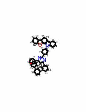 c1ccc(-c2nc(-c3ccc(-n4c5ccccc5c5ccc6c7ccccc7oc6c54)cc3)nc3c2[Si](c2ccccc2)(c2ccccc2)c2ccccc2-3)cc1